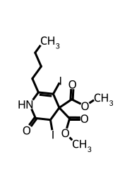 CCCCC1=C(I)C(C(=O)OC)(C(=O)OC)C(I)C(=O)N1